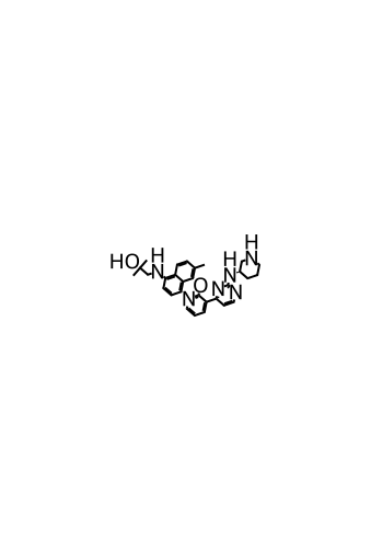 Cc1ccc2c(NCC(C)(C)O)cccc2c1Oc1ncccc1-c1ccnc(N[C@H]2CCCNC2)n1